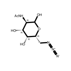 CC(=O)N[C@H]1C(O)O[C@H](CN=[N+]=[N-])[C@H](O)[C@@H]1O